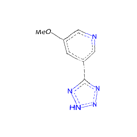 COc1cncc(-c2nn[nH]n2)c1